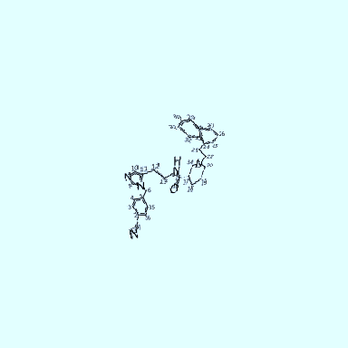 N#Cc1ccc(Cn2cncc2CCNC(=O)[C@H]2CCCN(CCc3cccc4ccccc34)C2)cc1